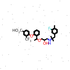 Cc1ccc(CC(C)(C)NC[C@@H](O)COC(C)c2ccccc2Oc2ccc(C(=O)O)cc2C(F)(F)F)cc1F